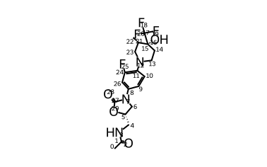 CC(=O)NC[C@H]1CN(c2ccc(N3CC[C@](O)(C(F)(F)F)[C@H](C)C3)c(F)c2)C(=O)O1